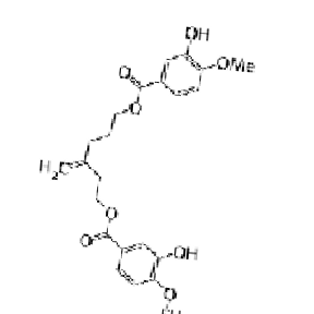 C=C(CCCOC(=O)c1ccc(OC)c(O)c1)CCOC(=O)c1ccc(OS)c(O)c1